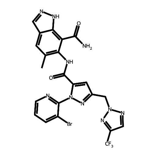 Cc1cc2cn[nH]c2c(C(N)=O)c1NC(=O)c1cc(Cn2ncc(C(F)(F)F)n2)nn1-c1ncccc1Br